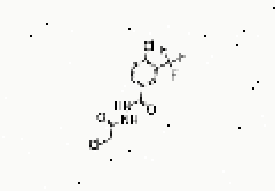 O=C(CCl)NNC(=O)c1ccc(Cl)c(C(F)(F)F)c1